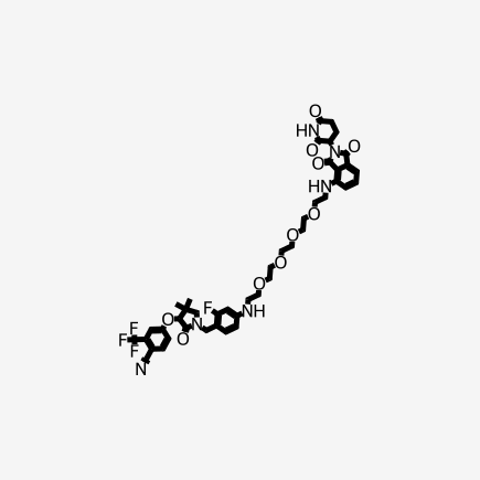 CC1(C)CN(Cc2ccc(NCCOCCOCCOCCOCCNc3cccc4c3C(=O)N(C3CCC(=O)NC3=O)C4=O)cc2F)C(=O)C1Oc1ccc(C#N)c(C(F)(F)F)c1